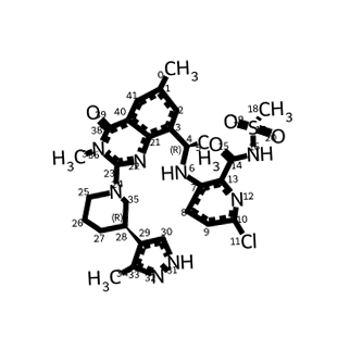 Cc1cc([C@@H](C)Nc2ccc(Cl)nc2C(=O)NS(C)(=O)=O)c2nc(N3CCC[C@H](c4c[nH]nc4C)C3)n(C)c(=O)c2c1